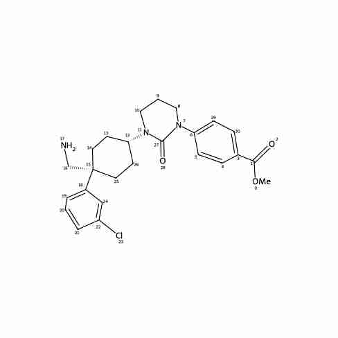 COC(=O)c1ccc(N2CCCN([C@H]3CC[C@](CN)(c4cccc(Cl)c4)CC3)C2=O)cc1